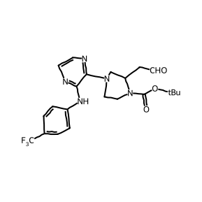 CC(C)(C)OC(=O)N1CCN(c2nccnc2Nc2ccc(C(F)(F)F)cc2)CC1CC=O